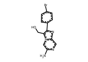 Nc1cn2c(CO)c(-c3ccc(Br)cc3)nc2cn1